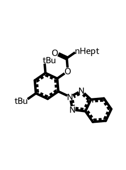 CCCCCCCC(=O)Oc1c(-n2nc3ccccc3n2)cc(C(C)(C)C)cc1C(C)(C)C